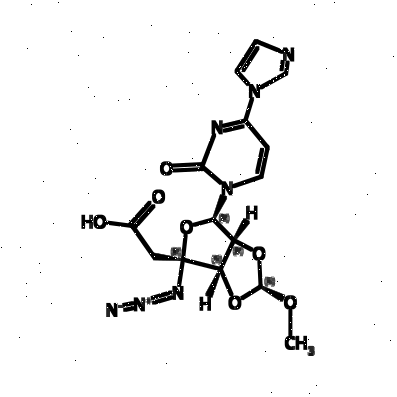 CO[C@@H]1O[C@H]2[C@H](n3ccc(-n4ccnc4)nc3=O)O[C@@](CC(=O)O)(N=[N+]=[N-])[C@H]2O1